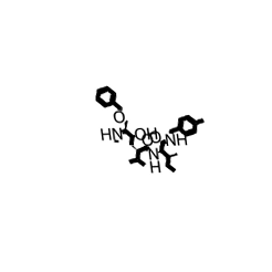 CC[C@H](C)[C@H](NC(=O)[C@@H](C[C@H](O)[C@H](COCc1ccccc1)NC)C(C)C)C(=O)NCc1ccc(C)cc1